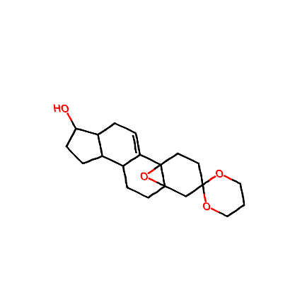 OC1CCC2C3CCC45CC6(CCC4(O5)C3=CCC12)OCCCO6